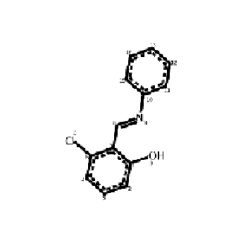 Oc1cccc(Cl)c1C=Nc1ccccc1